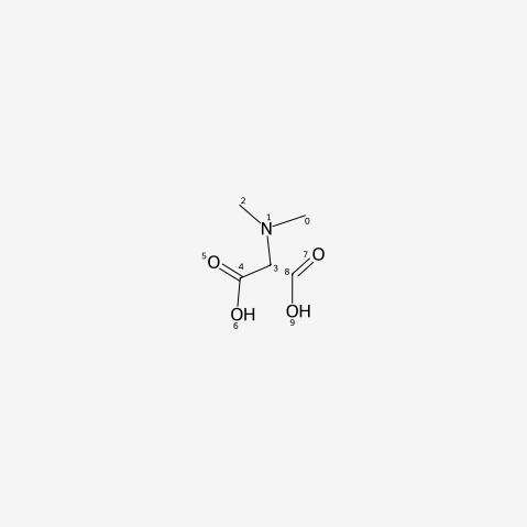 CN(C)CC(=O)O.O=CO